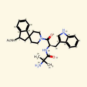 CC(=O)NC1CC2(CCN(C(=O)[C@@H](Cc3c[nH]c4ccccc34)NC(=O)C(C)(C)N)CC2)c2ccccc21